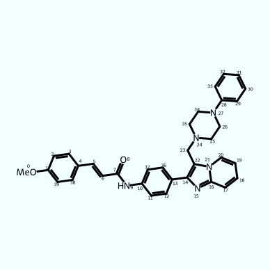 COc1ccc(/C=C/C(=O)Nc2ccc(-c3nc4ccccn4c3CN3CCN(c4ccccc4)CC3)cc2)cc1